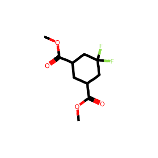 COC(=O)C1CC(C(=O)OC)CC(F)(F)C1